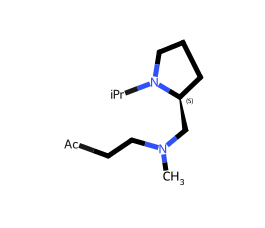 CC(=O)CCN(C)C[C@@H]1CCCN1C(C)C